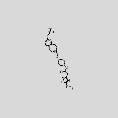 Cc1nc(CC(=O)N[C@H]2CC[C@H](CCN3CCc4ccc(CCC(F)(F)F)nc4CC3)CC2)no1